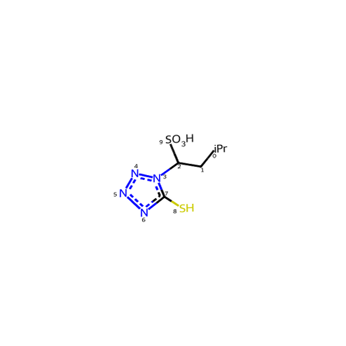 CC(C)CC(n1nnnc1S)S(=O)(=O)O